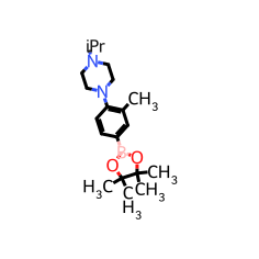 Cc1cc(B2OC(C)(C)C(C)(C)O2)ccc1N1CCN(C(C)C)CC1